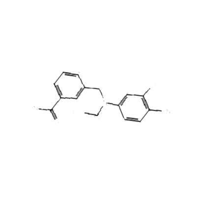 N#Cc1ccc(N(Cc2cccc(C(N)=O)c2)CC(F)(F)F)cc1C(F)(F)F